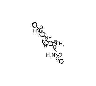 COc1cc2c(Nc3cnc(NC(=O)c4ccccc4)nc3)ncnc2cc1OCCC(N)C(=O)OC1CCCC1